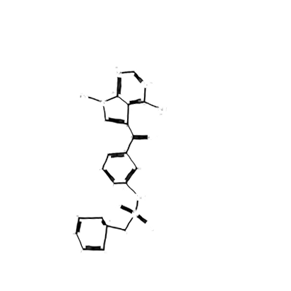 CC(C)n1cc(C(=O)c2cccc(NS(=O)(=O)Cc3ccccc3)c2)c2c(N)ncnc21